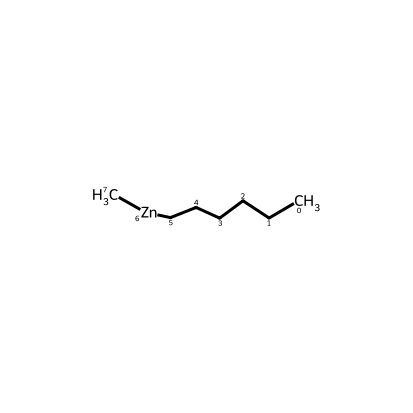 CCCCC[CH2][Zn][CH3]